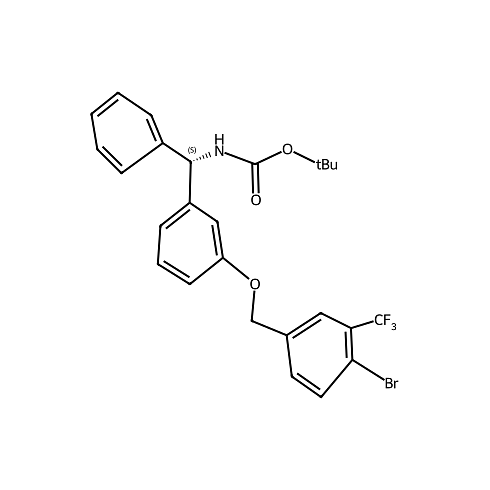 CC(C)(C)OC(=O)N[C@@H](c1ccccc1)c1cccc(OCc2ccc(Br)c(C(F)(F)F)c2)c1